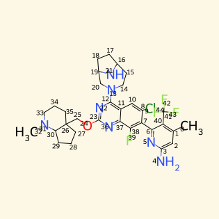 Cc1cc(N)nc(-c2c(Cl)cc3c(N4CCC5CCC(C4)N5)nc(OCC45CCCC4N(C)CCC5)nc3c2F)c1C(F)(F)F